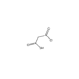 O=C(S)CC(=O)Cl